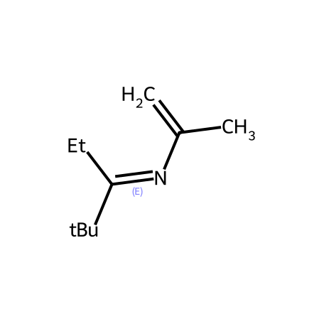 C=C(C)/N=C(\CC)C(C)(C)C